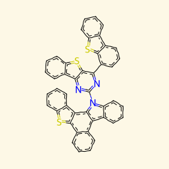 c1ccc2c(c1)sc1c(-c3nc(-n4c5ccccc5c5c6ccccc6c6sc7ccccc7c6c54)nc4c3sc3ccccc34)cccc12